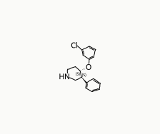 Clc1cccc(O[C@H]2CCNC[C@@H]2c2ccccc2)c1